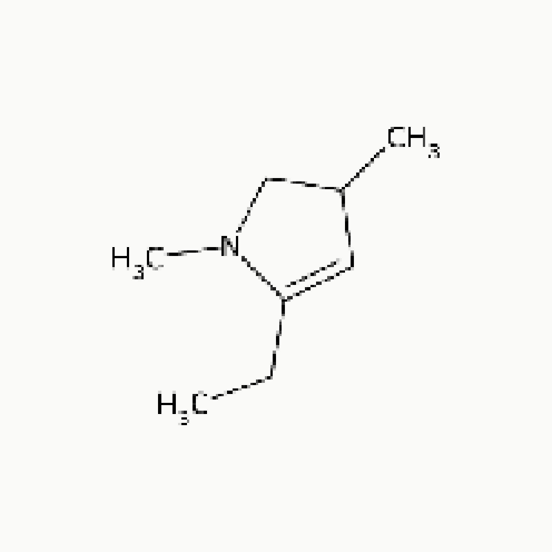 CCC1=CC(C)CN1C